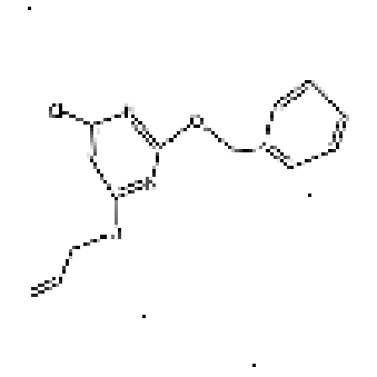 C=CCOc1cc(Cl)nc(OCc2ccccc2)n1